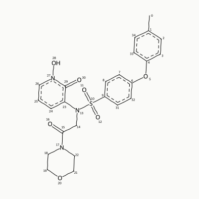 Cc1ccc(Oc2ccc(S(=O)(=O)N(CC(=O)N3CCOCC3)c3cccn(O)c3=O)cc2)cc1